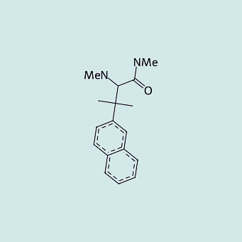 CNC(=O)C(NC)C(C)(C)c1ccc2ccccc2c1